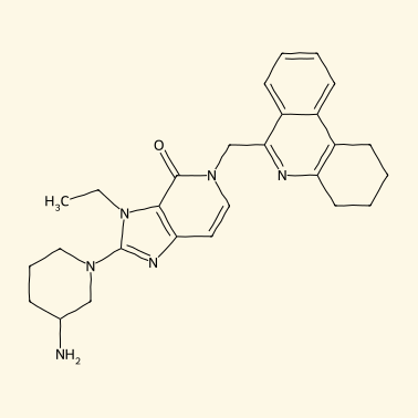 CCn1c(N2CCCC(N)C2)nc2ccn(Cc3nc4c(c5ccccc35)CCCC4)c(=O)c21